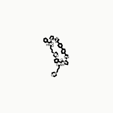 O=C(CCCN1CCOCC1)N[C@@H](C(=O)N1CCC[C@H]1c1ncc(-c2ccc(-c3ccc(-c4cnc([C@@H]5CCCN5C(=O)[C@H](NC(=O)CCCN5CCOCC5)c5ccccc5)s4)cc3)cc2)s1)c1ccccc1